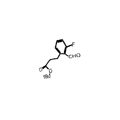 CC(C)(C)OC(=O)CCc1cccc(F)c1C=O